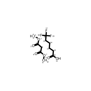 COC(=O)CC(=O)OC.O=C(O)CCCCC(F)(F)F